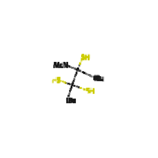 CNC(S)(C(C)(C)C)C(S)(S)C(C)(C)C